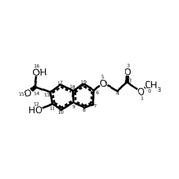 COC(=O)COc1ccc2cc(O)c(C(=O)O)cc2c1